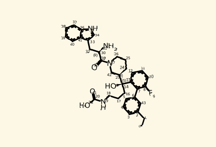 CCc1cccc(-c2c(F)cccc2[C@](O)(CCCNC(=O)O)[C@@H]2CCCN(C(=O)[C@H](N)Cc3c[nH]c4ccccc34)C2)c1